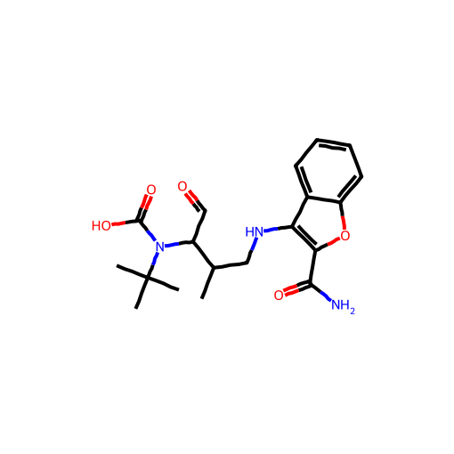 CC(CNc1c(C(N)=O)oc2ccccc12)C(C=O)N(C(=O)O)C(C)(C)C